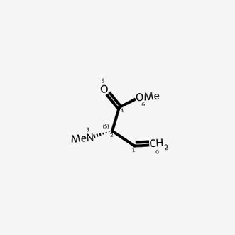 C=C[C@H](NC)C(=O)OC